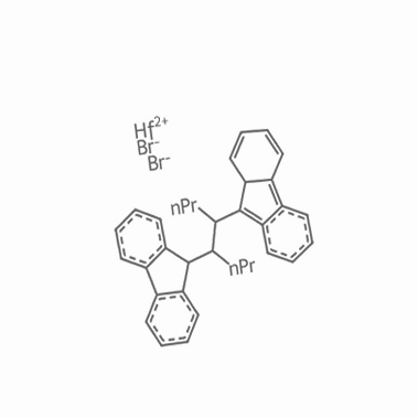 CCCC(C1=c2ccccc2=C2C=CC=CC21)C(CCC)C1c2ccccc2-c2ccccc21.[Br-].[Br-].[Hf+2]